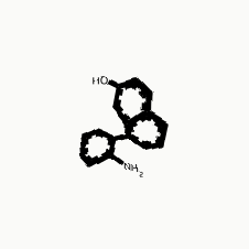 Nc1ccccc1-c1cccc2ccc(O)cc12